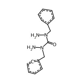 NN(Cc1ccccc1)C(=O)N(N)Cc1ccccc1